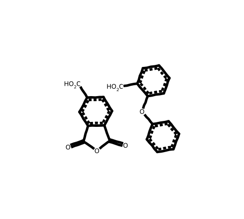 O=C(O)c1ccc2c(c1)C(=O)OC2=O.O=C(O)c1ccccc1Oc1ccccc1